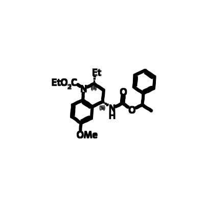 CCOC(=O)N1c2ccc(OC)cc2[C@@H](NC(=O)OC(C)c2ccccc2)C[C@H]1CC